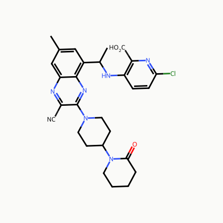 Cc1cc(C(C)Nc2ccc(Cl)nc2C(=O)O)c2nc(N3CCC(N4CCCCC4=O)CC3)c(C#N)nc2c1